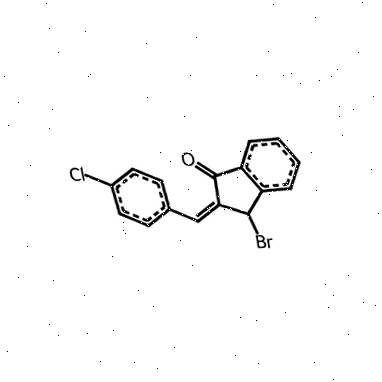 O=C1C(=Cc2ccc(Cl)cc2)C(Br)c2ccccc21